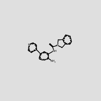 C=C(Nc1cc(-c2ccncc2)ccc1N)N1Cc2ccccc2C1